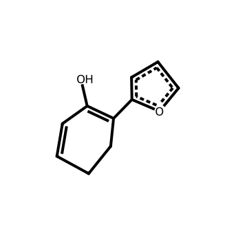 OC1=C(c2ccco2)CCC=C1